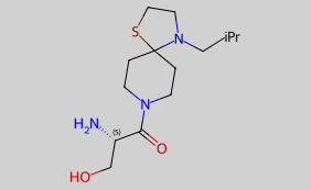 CC(C)CN1CCSC12CCN(C(=O)[C@@H](N)CO)CC2